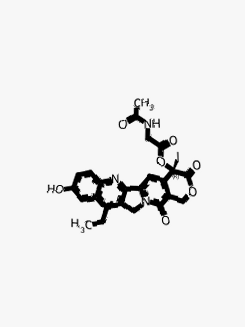 CCc1c2c(nc3ccc(O)cc13)-c1cc3c(c(=O)n1C2)COC(=O)[C@@]3(I)OC(=O)CNC(C)=O